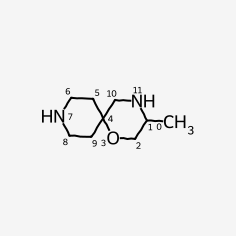 CC1COC2(CCNCC2)CN1